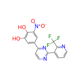 O=[N+]([O-])c1cc(-c2ccnc(-c3cccnc3C(F)(F)F)n2)cc(O)c1O